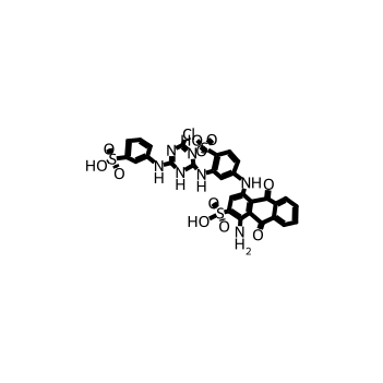 Nc1c(S(=O)(=O)O)cc(Nc2ccc(S(=O)(=O)O)c(NC3N=C(Cl)N=C(Nc4cccc(S(=O)(=O)O)c4)N3)c2)c2c1C(=O)c1ccccc1C2=O